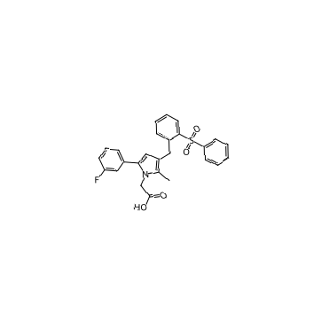 Cc1c(Cc2ccccc2S(=O)(=O)c2ccccc2)cc(-c2cccc(F)c2)n1CC(=O)O